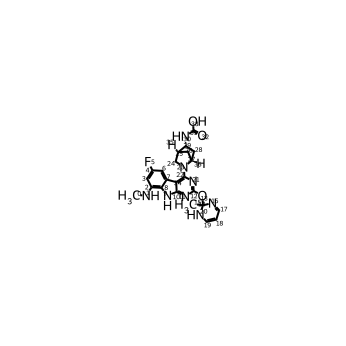 CNc1cc(F)cc2c1[nH]c1nc(OC3(C)N=CC=CN3)nc(N3C[C@H]4C[C@@H]3C[C@H]4NC(=O)O)c12